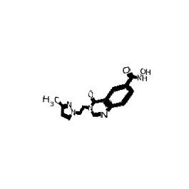 Cc1ccn(CCn2cnc3ccc(C(=O)NO)cc3c2=O)n1